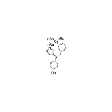 CCC[CH2][Sn]([CH2]CCC)([CH2]CCC)[c]1cccc(CN(c2ccc(C#N)cc2)n2cnnc2)c1